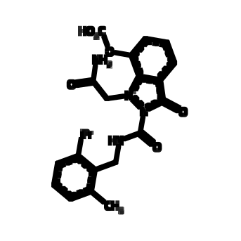 Cc1cccc(C(C)C)c1CNC(=O)n1c(=O)c2cccc(OC(=O)O)c2n1CC(N)=O